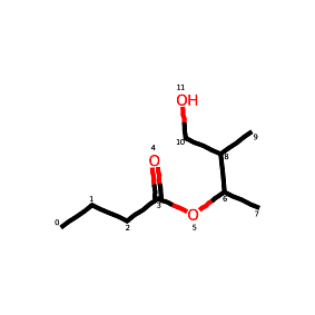 CCCC(=O)OC(C)C(C)CO